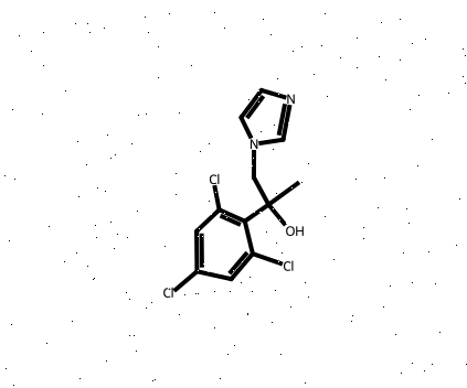 CC(O)(Cn1ccnc1)c1c(Cl)cc(Cl)cc1Cl